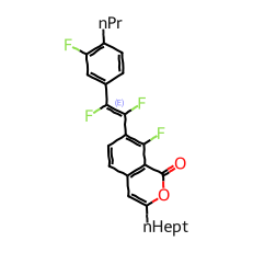 CCCCCCCc1cc2ccc(/C(F)=C(\F)c3ccc(CCC)c(F)c3)c(F)c2c(=O)o1